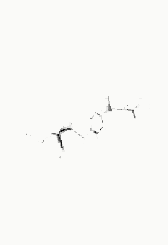 CCOC(=O)CCc1ccc(NC(C)=O)cc1